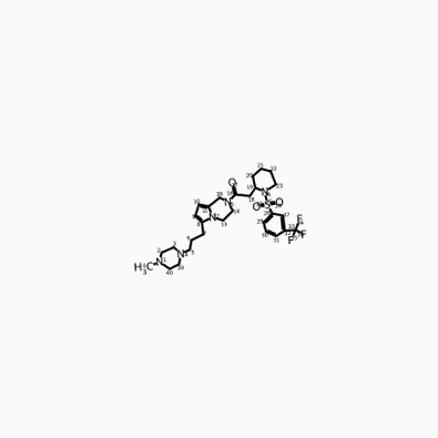 CN1CCN(CCCc2ccc3n2CCN(C(=O)CC2CCCCN2S(=O)(=O)c2cccc(C(F)(F)F)c2)C3)CC1